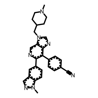 CN1CCC(Cn2cnc3c(-c4ccc(C#N)cc4)c(-c4ccc5c(cnn5C)c4)ncc32)CC1